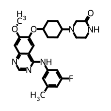 COc1cc2ncnc(Nc3cc(C)cc(F)c3)c2cc1OC1CCC(N2CCNC(=O)C2)CC1